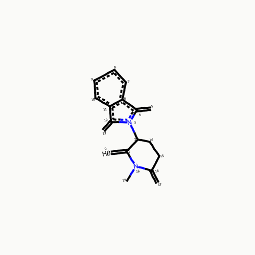 B=C1C(n2c(=C)c3ccccc3c2=C)CCC(=C)N1C